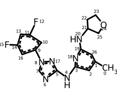 Cc1cc(Nc2ncn(-c3cc(F)cc(F)c3)n2)nc(NC2CCOC2)c1